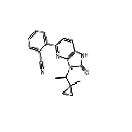 CC(n1c(=O)[nH]c2ccc(-c3ccccc3C#N)nc21)C1(C)CC1